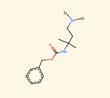 CCN(CC)CCC(C)(C)NC(=O)OCc1ccccc1